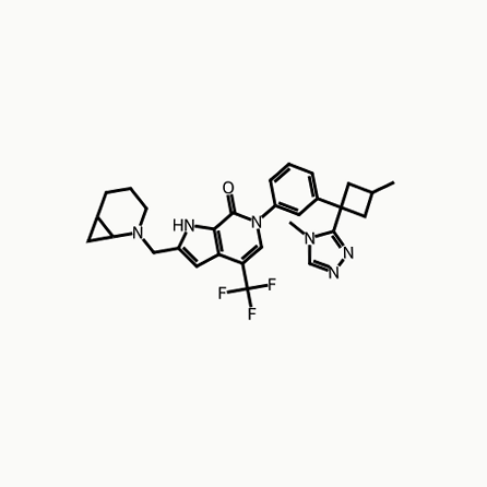 CC1CC(c2cccc(-n3cc(C(F)(F)F)c4cc(CN5CCCC6CC65)[nH]c4c3=O)c2)(c2nncn2C)C1